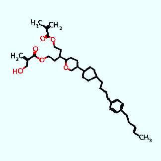 C=C(C)C(=O)OCCC(CCOC(=O)C(=C)CO)C1CCC(C2CCC(CCCCc3ccc(CCCCC)cc3)CC2)CO1